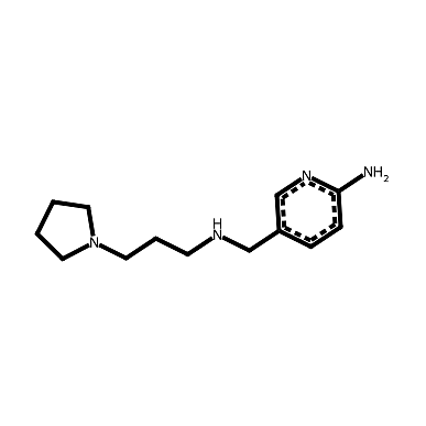 Nc1ccc(CNCCCN2CCCC2)cn1